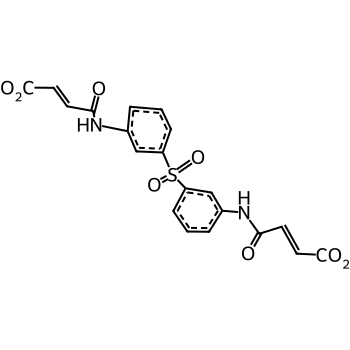 O=C(O)/C=C/C(=O)Nc1cccc(S(=O)(=O)c2cccc(NC(=O)/C=C/C(=O)O)c2)c1